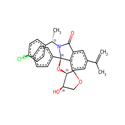 C=C(C)c1ccc2c(c1)C(=O)N([C@@H](C)c1ccc(Cl)cc1)[C@@]2(O[C@H]1COC[C@H]1O)c1ccc(Cl)cc1